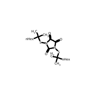 CCCCCCC(C)(C)SN1C(=O)C(=O)N(SC(C)(C)CCCCCC)C1=O